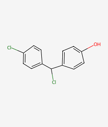 Oc1ccc(C(Cl)c2ccc(Cl)cc2)cc1